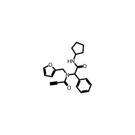 C#CC(=O)N(Cc1ccco1)C(C(=O)NC1CCCC1)c1ccccc1